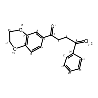 C=C(CCC(=O)c1ccc2c(c1)OCCO2)c1ccccc1